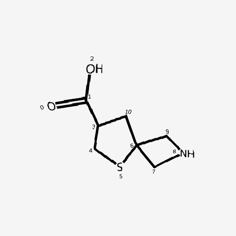 O=C(O)C1CSC2(CNC2)C1